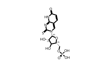 O=c1ccc2cn([C@@H]3O[C@H](COP(=O)(O)O)C(O)[C@@H]3O)c(=S)nc2[nH]1